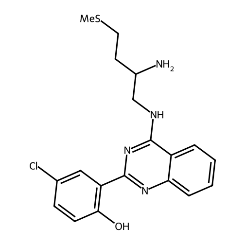 CSCCC(N)CNc1nc(-c2cc(Cl)ccc2O)nc2ccccc12